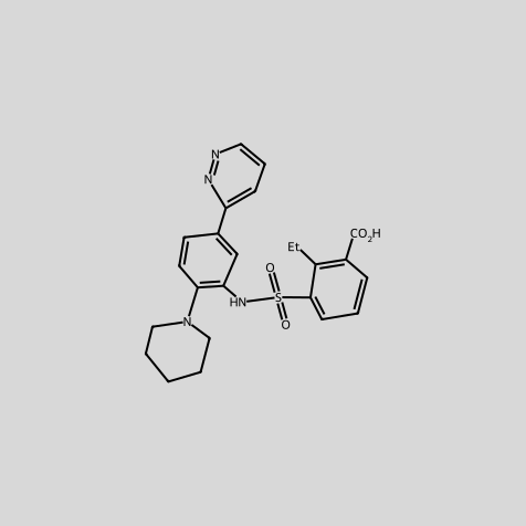 CCc1c(C(=O)O)cccc1S(=O)(=O)Nc1cc(-c2cccnn2)ccc1N1CCCCC1